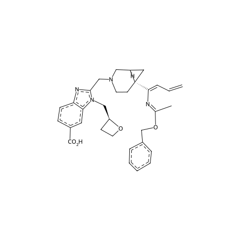 C=C/C=C(\N=C(/C)OCc1ccccc1)[C@]12CCN(Cc3nc4ccc(C(=O)O)cc4n3C[C@@H]3CCO3)C[C@H]1C2